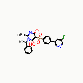 CCCCc1nc(=O)c(S(=O)(=O)c2ccc(-c3cncc(F)c3)cc2)c(O)n1C(CC)c1ccccc1